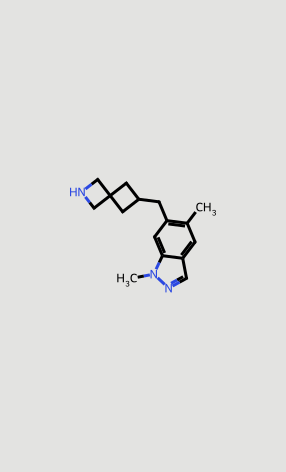 Cc1cc2cnn(C)c2cc1CC1CC2(CNC2)C1